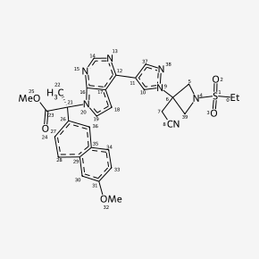 CCS(=O)(=O)N1CC(CC#N)(n2cc(-c3ncnc4c3ccn4[C@](C)(C(=O)OC)c3ccc4cc(OC)ccc4c3)cn2)C1